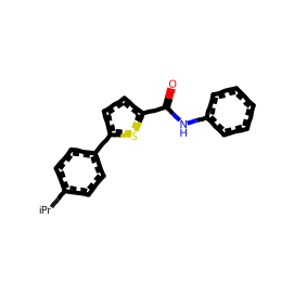 CC(C)c1ccc(-c2ccc(C(=O)Nc3ccccc3)s2)cc1